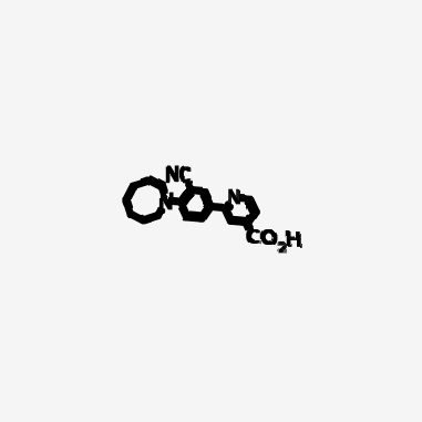 N#Cc1cc(-c2cc(C(=O)O)ccn2)ccc1N1CCCCCCC1